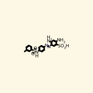 Cc1cccc(S(=O)(=O)Nc2ccc(/N=N/c3cc(S(=O)(=O)O)c(N)cc3N)cc2)c1